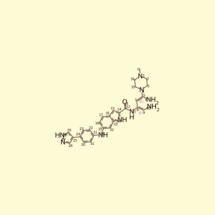 CN1CCN(/C(N)=C/C(=C\N)NC(=O)c2cc3ccc(Nc4ccc(-c5cn[nH]c5)cc4)cc3[nH]2)CC1